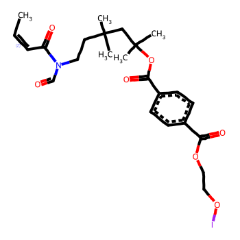 C/C=C\C(=O)N(C=O)CCC(C)(C)CC(C)(C)OC(=O)c1ccc(C(=O)OCCOI)cc1